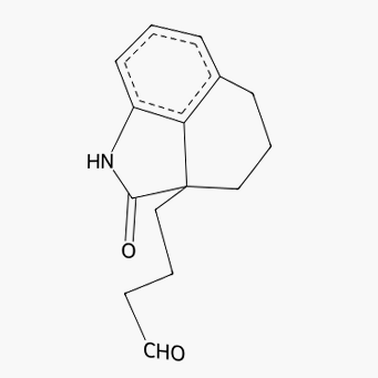 O=CCCCC12CCCc3cccc(c31)NC2=O